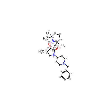 C[C@H]1CN(C2CCN(Cc3ccccc3)CC2)C(=O)[C@@H]1ON1C(C)(C)CCCC1(C)C